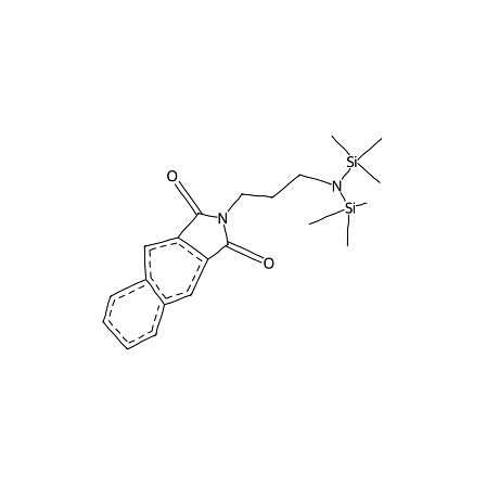 C[Si](C)(C)N(CCCN1C(=O)c2cc3ccccc3cc2C1=O)[Si](C)(C)C